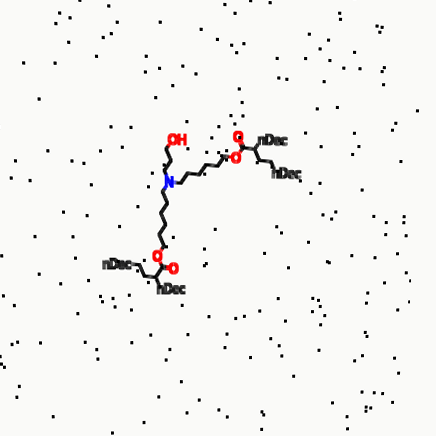 CCCCCCCCCCCCC(CCCCCCCCCC)C(=O)OCCCCCCN(CCCO)CCCCCCOC(=O)C(CCCCCCCCCC)CCCCCCCCCCCC